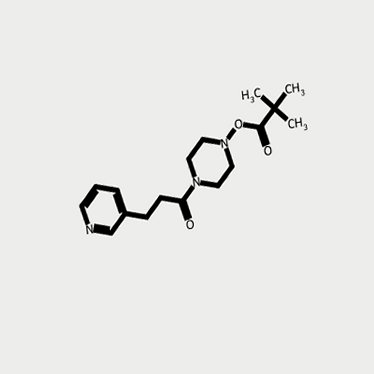 CC(C)(C)C(=O)ON1CCN(C(=O)CCc2cccnc2)CC1